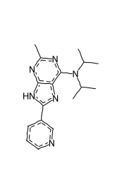 Cc1nc(N(C(C)C)C(C)C)c2nc(-c3cccnc3)[nH]c2n1